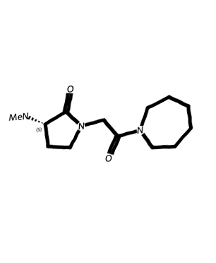 CN[C@H]1CCN(CC(=O)N2CCCCCC2)C1=O